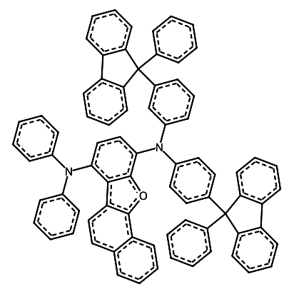 c1ccc(N(c2ccccc2)c2ccc(N(c3ccc(C4(c5ccccc5)c5ccccc5-c5ccccc54)cc3)c3cccc(C4(c5ccccc5)c5ccccc5-c5ccccc54)c3)c3oc4c5ccccc5ccc4c23)cc1